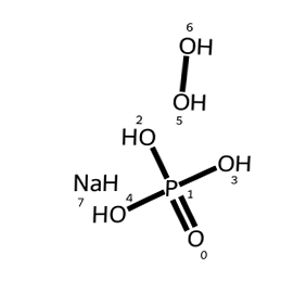 O=P(O)(O)O.OO.[NaH]